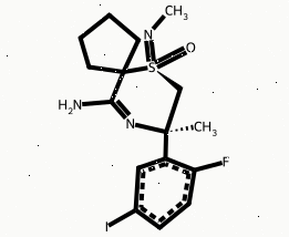 CN=[S@@]1(=O)C[C@@](C)(c2cc(I)ccc2F)N=C(N)C12CCCC2